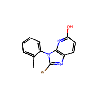 Cc1ccccc1-n1c(Br)nc2ccc(O)nc21